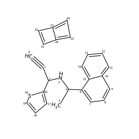 C#CC(NC(C)c1cccc2ccccc12)c1cccs1.c1cc2ccc1-2